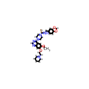 COc1cc2c(N3CCN(C(=S)NCc4ccc5c(c4)OCO5)CC3)ncnc2cc1OCCN1CCCCC1